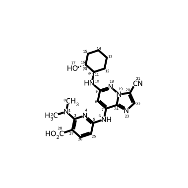 CN(C)c1nc(Nc2cc(N[C@@H]3CCCC[C@H]3O)nn3c(C#N)cnc23)ccc1C(=O)O